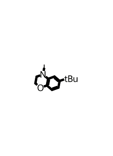 CC(C)(C)c1ccc2c(c1)N(I)CCO2